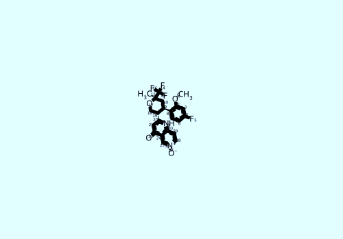 COc1cc(F)ccc1[C@@H]1C[C@](C)(C(F)(F)F)OC[C@H]1c1cc(=O)c2c[n+]([O-])ccc2[nH]1